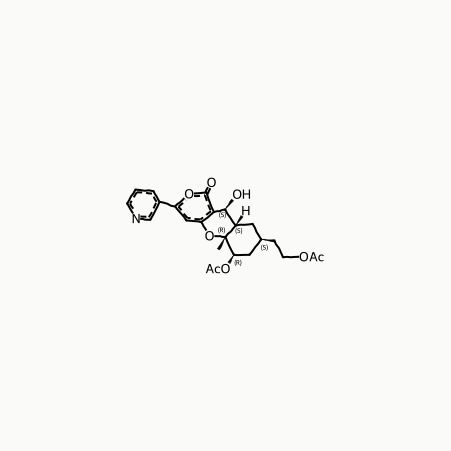 CC(=O)OCC[C@H]1C[C@@H](OC(C)=O)[C@]2(C)Oc3cc(-c4cccnc4)oc(=O)c3[C@@H](O)[C@@H]2C1